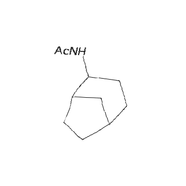 CC(=O)NC1CCC2CCC1C2